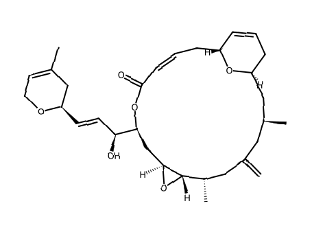 C=C1C[C@H](C)C[C@@H]2CC=C[C@@H](C/C=C\C(=O)O[C@H]([C@@H](O)/C=C/[C@@H]3CC(C)=CCO3)C[C@@H]3O[C@H]3[C@@H](C)C1)O2